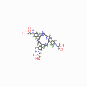 OCC(O)CNc1c(F)c(F)c(-c2c3nc(c4ccc([nH]4)c(-c4c(F)c(F)c(NCC(O)CO)c(F)c4F)c4ccc([nH]4)c(-c4c(F)c(F)c(NCC(O)CO)c(F)c4F)c4ccc2[nH]4)C=C3)c(F)c1F